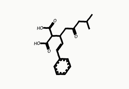 CC(C)CC(=O)CC(C=Cc1ccccc1)C(C(=O)O)C(=O)O